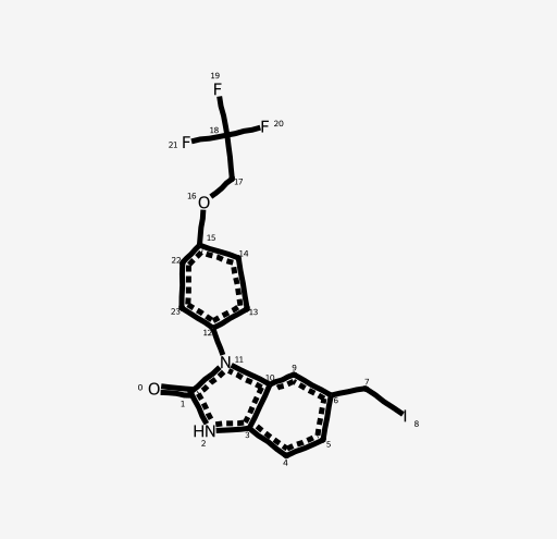 O=c1[nH]c2ccc(CI)cc2n1-c1ccc(OCC(F)(F)F)cc1